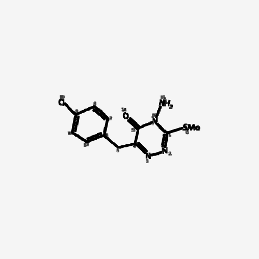 CSc1nnc(Cc2ccc(Cl)cc2)c(=O)n1N